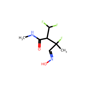 CNC(=O)C(C(F)F)C(C)(F)C=NO